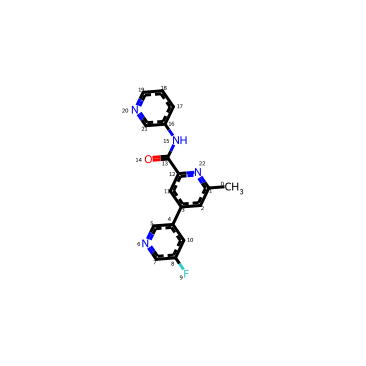 Cc1cc(-c2cncc(F)c2)cc(C(=O)Nc2cccnc2)n1